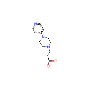 O=C(O)CCN1CCN(c2ccncc2)CC1